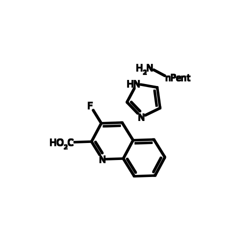 CCCCCN.O=C(O)c1nc2ccccc2cc1F.c1c[nH]cn1